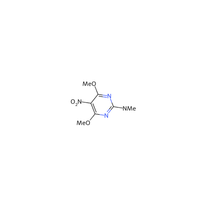 CNc1nc(OC)c([N+](=O)[O-])c(OC)n1